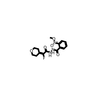 CO[N+](=O)c1ccccc1C(=O)NNC(=O)C(F)=C1CCOCC1